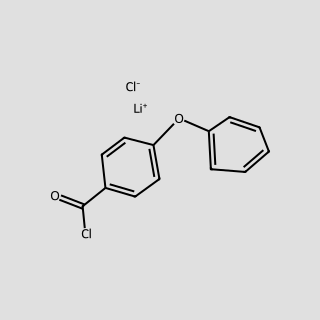 O=C(Cl)c1ccc(Oc2ccccc2)cc1.[Cl-].[Li+]